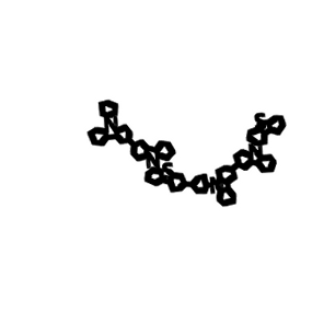 c1ccc(-n2c3ccccc3c3cc(-c4ccc5c(c4)c4ccccc4n5-c4cccc5c4sc4cc(-c6ccc(-n7c8ccccc8c8cc(-c9ccc%10c(c9)c9ccccc9n%10-c9ccc%10sc%11ccccc%11c%10c9)ccc87)cc6)ccc45)ccc32)cc1